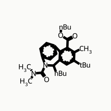 CCCCOC(=O)c1c(C)c(C(C)(C)C)cc2c1-c1ccc(cc1)N(C(=O)N(C)C)C2CCCC